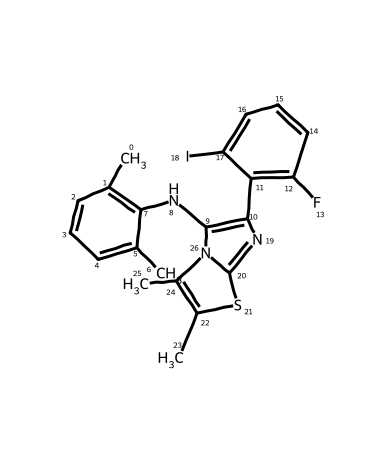 Cc1cccc(C)c1Nc1c(-c2c(F)cccc2I)nc2sc(C)c(C)n12